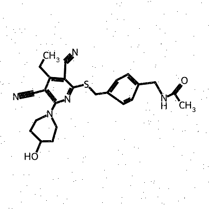 CCc1c(C#N)c(SCc2ccc(CNC(C)=O)cc2)nc(N2CCC(O)CC2)c1C#N